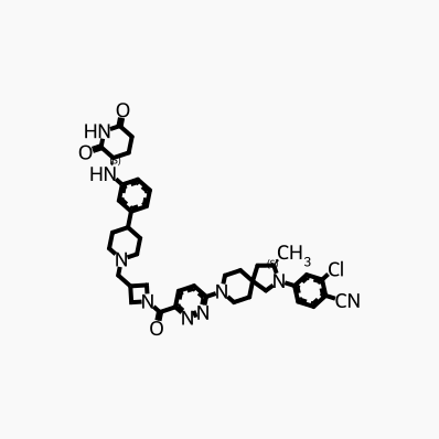 C[C@H]1CC2(CCN(c3ccc(C(=O)N4CC(CN5CCC(c6cccc(N[C@H]7CCC(=O)NC7=O)c6)CC5)C4)nn3)CC2)CN1c1ccc(C#N)c(Cl)c1